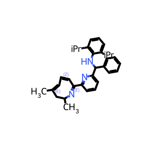 C\C1=C/C=C\C(c2cccc(C(Nc3c(C(C)C)cccc3C(C)C)c3ccccc3)n2)=N/C(C)C1